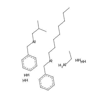 CC(C)[CH2][Al][CH2]c1ccccc1.CCCCCCC[CH2][Al][CH2]c1ccccc1.C[CH2][AlH2].[HH].[HH].[HH].[HH]